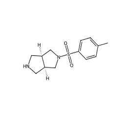 Cc1ccc(S(=O)(=O)N2C[C@H]3CNC[C@H]3C2)cc1